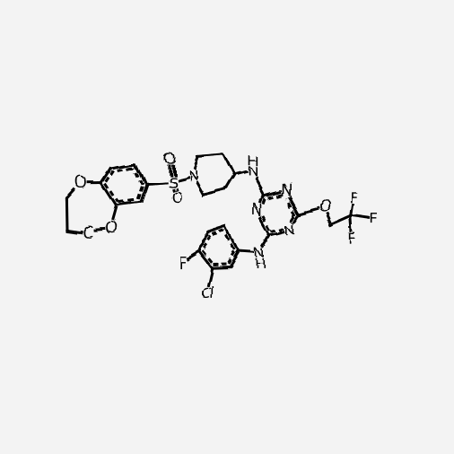 O=S(=O)(c1ccc2c(c1)OCCCO2)N1CCC(Nc2nc(Nc3ccc(F)c(Cl)c3)nc(OCC(F)(F)F)n2)CC1